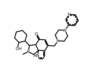 CN1CC23NC=CC=C2C(CN2CCN(c4cccnc4)CC2)=CC(=O)C3C1C1CCCCC1O